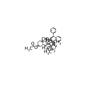 CC[C@H](C1C[C@H](OC(C)=O)CC[C@]1(C)C(C)CC[C@@]1(C)C(C)CC[C@@H]1[C@H](C)CC=C(c1ccccc1)c1ccccc1)[C@H](C)O